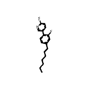 CCCCCCCc1ccc(-c2ccc(F)nc2)c(F)c1